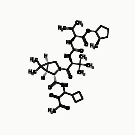 C=C(C)[C@H](NC(=O)N[C@H](C(=O)N1C[C@H]2[C@@H]([C@H]1C(=O)NC(C(=O)C(N)=O)C1CCC1)C2(C)C)C(C)(C)C)C(=O)OC1CCC[C@H]1C